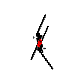 CCCCCCCCCCCCCCCCc1ccc(C(O)(c2ccc(CCCCCCCCCCCCCCCC)cc2)c2ccsc2-c2cc3cc4sc(-c5sccc5C(O)(c5ccc(CCCCCCCCCCCCCCCC)cc5)c5ccc(CCCCCCCCCCCCCCCC)cc5)cc4cc3s2)cc1